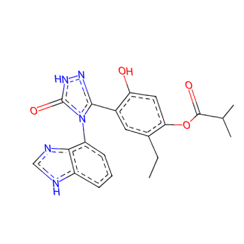 CCc1cc(-c2n[nH]c(=O)n2-c2cccc3[nH]cnc23)c(O)cc1OC(=O)C(C)C